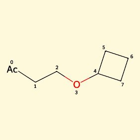 CC(=O)CCOC1CCC1